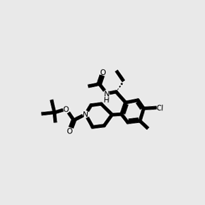 CC[C@@H](NC(C)=O)c1cc(Cl)c(C)cc1C1CCN(C(=O)OC(C)(C)C)CC1